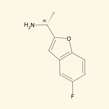 C[C@@H](N)c1cc2cc(F)ccc2o1